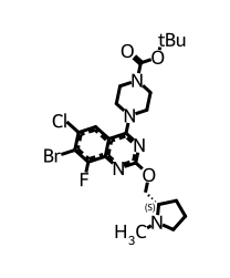 CN1CCC[C@H]1COc1nc(N2CCN(C(=O)OC(C)(C)C)CC2)c2cc(Cl)c(Br)c(F)c2n1